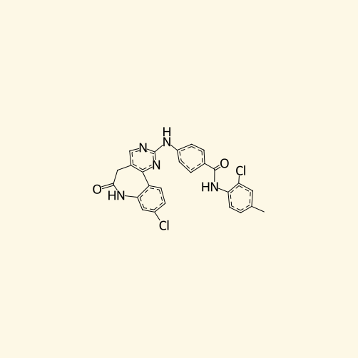 Cc1ccc(NC(=O)c2ccc(Nc3ncc4c(n3)-c3ccc(Cl)cc3NC(=O)C4)cc2)c(Cl)c1